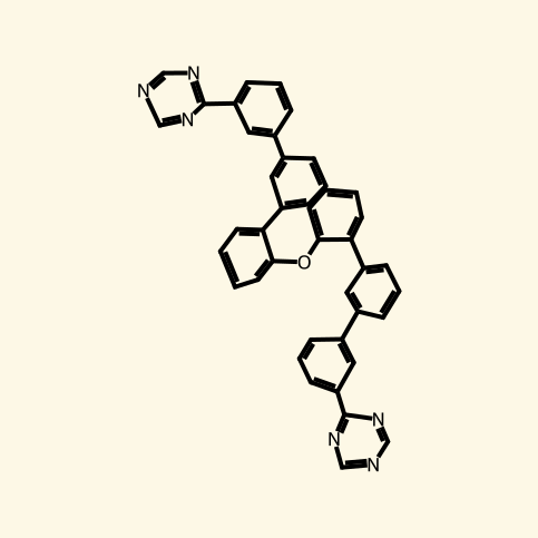 c1cc(-c2cccc(-c3ccccc3Oc3ccccc3-c3cccc(-c4cccc(-c5ncncn5)c4)c3)c2)cc(-c2ncncn2)c1